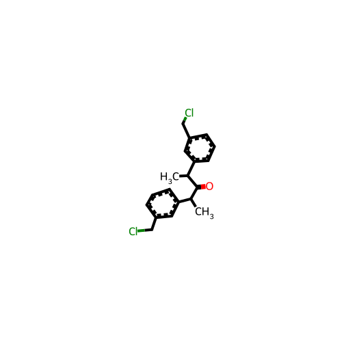 CC(C(=O)C(C)c1cccc(CCl)c1)c1cccc(CCl)c1